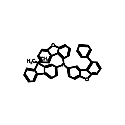 CC1(C)c2ccccc2-c2ccc(N(c3ccc4oc5cccc(-c6ccccc6)c5c4c3)c3cccc4oc5ccccc5c34)cc21